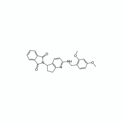 COc1ccc(CNc2ccc3c(n2)CCC3N2C(=O)c3ccccc3C2=O)c(OC)c1